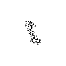 COC(=O)C(O)=CC(=O)c1ccc(Cc2cccc3ccccc23)o1